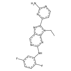 CCn1c(-c2ccnc(N)n2)nc2cnc(Nc3cc(F)ccc3F)nc21